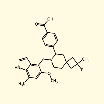 COc1cc(C)c2[nH]ccc2c1CN1CCC2(CC1c1ccc(C(=O)O)cc1)CC(C)(F)C2